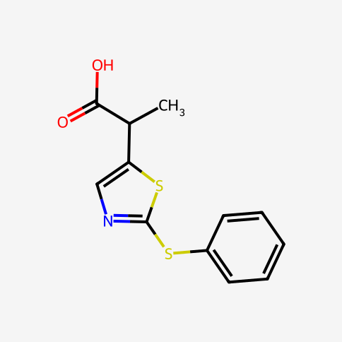 CC(C(=O)O)c1cnc(Sc2ccccc2)s1